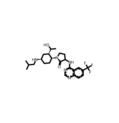 CC(C)CN[C@@H]1CC[C@H](N2CCC(Nc3ncnc4ccc(C(F)(F)F)cc34)C2=O)[C@H](C(C)O)C1